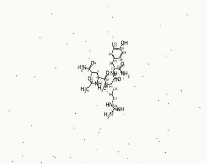 CC(=O)N[C@@H](CCC(N)=O)C(=O)N(C)[C@@H](CCCNC(=N)N)C(=O)N[C@@H](Cc1ccc(O)c(I)c1)C(N)=O